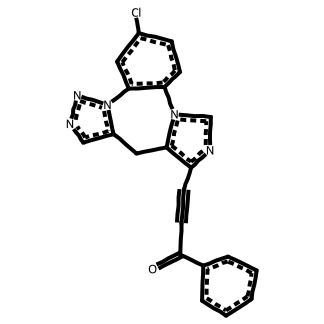 O=C(C#Cc1ncn2c1Cc1cnnn1-c1cc(Cl)ccc1-2)c1ccccc1